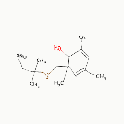 CC1=CC(C)(CSC(C)(C)CC(C)(C)C)C(O)C(C)=C1